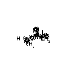 C[C@H](COc1nn(C2CCC(N3C[C@@H](C)O[C@@H](C)C3)CC2)cc1Nc1ncccn1)OC1CCCCO1